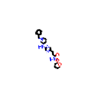 O=C(C=Cc1cnc(N[C@@H]2CCCN(Cc3ccccc3)C2)cn1)NOC1CCCCO1